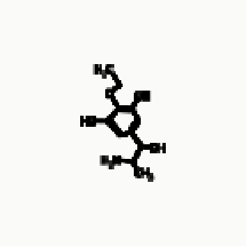 CCOc1c(O)cc(C(O)C(C)N)cc1O